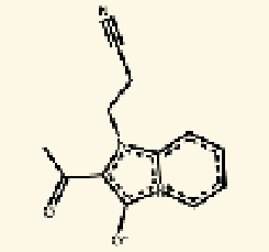 CC(=O)c1c([O-])[n+]2ccccc2n1CCC#N